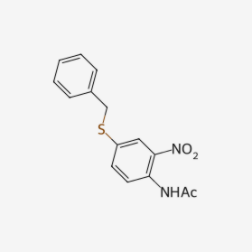 CC(=O)Nc1ccc(SCc2ccccc2)cc1[N+](=O)[O-]